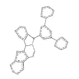 C1=CC2C(c3ccccc3N2c2cc(-c3ccccc3)cc(-c3ccccc3)c2)c2oc3ccccc3c21